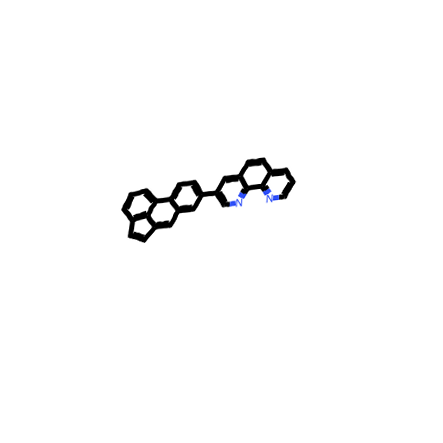 C1=Cc2cc3cc(-c4cnc5c(ccc6cccnc65)c4)ccc3c3cccc1c23